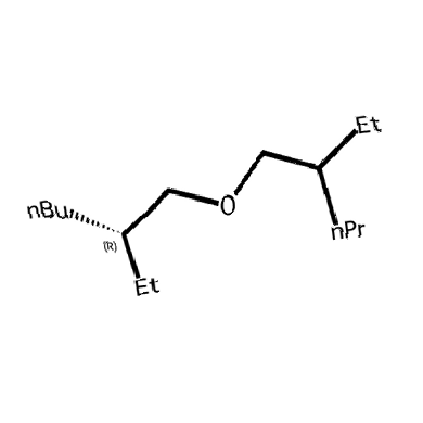 CCCC[C@@H](CC)COCC(CC)CCC